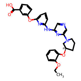 CCOc1ccccc1O[C@@H]1CCCN(c2cncc(Nc3cccc(Oc4cccc(C(=O)O)c4)n3)n2)C1